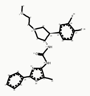 COCCN1C[C@@H](NC(=O)Nc2sc(-c3ccccc3)nc2C)[C@H](c2ccc(F)c(F)c2)C1